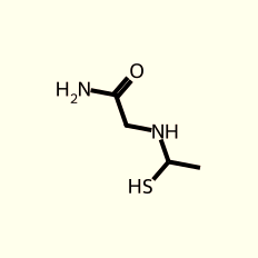 CC(S)NCC(N)=O